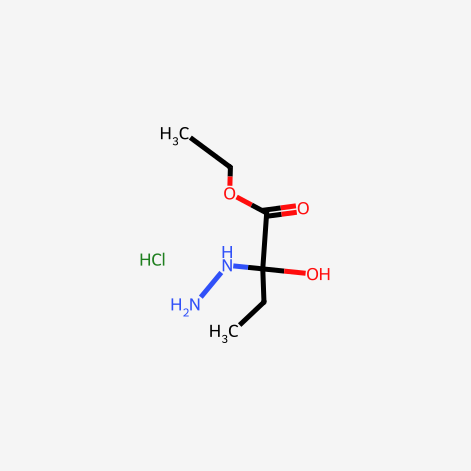 CCOC(=O)C(O)(CC)NN.Cl